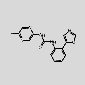 Cc1cnc(NC(=O)Nc2ccccc2-c2cnco2)cn1